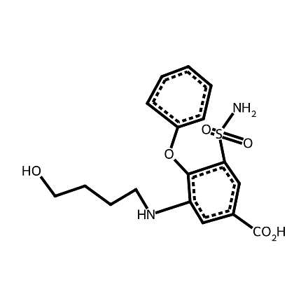 NS(=O)(=O)c1cc(C(=O)O)cc(NCCCCO)c1Oc1ccccc1